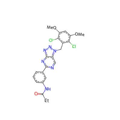 CCC(=O)Nc1cccc(-c2ncc3c(nnn3Cc3c(Cl)c(OC)cc(OC)c3Cl)n2)c1